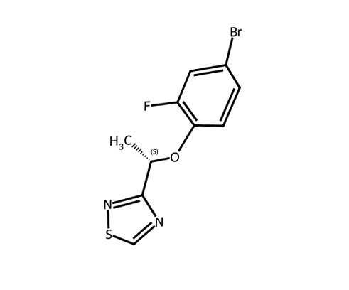 C[C@H](Oc1ccc(Br)cc1F)c1ncsn1